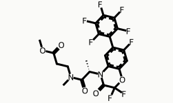 COC(=O)CCN(C)C(=O)[C@H](C)N1C(=O)C(F)(F)Oc2cc(F)c(-c3c(F)c(F)c(F)c(F)c3F)cc21